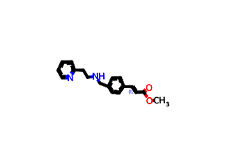 COC(=O)/C=C/c1ccc(CNCCc2ccccn2)cc1